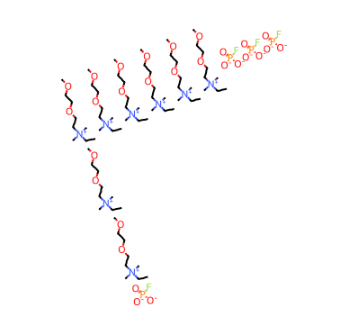 CC[N+](C)(C)CCOCCOC.CC[N+](C)(C)CCOCCOC.CC[N+](C)(C)CCOCCOC.CC[N+](C)(C)CCOCCOC.CC[N+](C)(C)CCOCCOC.CC[N+](C)(C)CCOCCOC.CC[N+](C)(C)CCOCCOC.CC[N+](C)(C)CCOCCOC.O=P([O-])([O-])F.O=P([O-])([O-])F.O=P([O-])([O-])F.O=P([O-])([O-])F